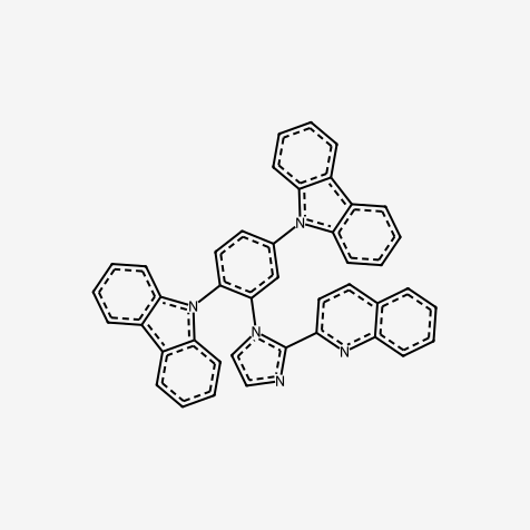 c1ccc2nc(-c3nccn3-c3cc(-n4c5ccccc5c5ccccc54)ccc3-n3c4ccccc4c4ccccc43)ccc2c1